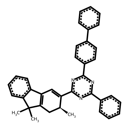 C[C@H]1CC2=C(C=C1c1nc(-c3ccccc3)nc(-c3ccc(-c4ccccc4)cc3)n1)c1ccccc1C2(C)C